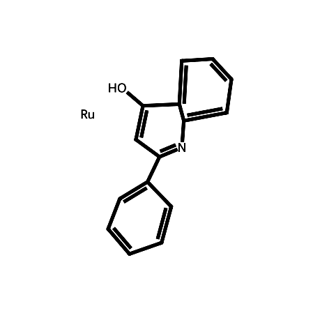 Oc1cc(-c2ccccc2)nc2ccccc12.[Ru]